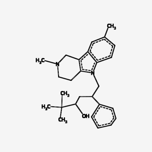 Cc1ccc2c(c1)c1c(n2CC(CC(O)C(C)(C)C)c2ccccc2)CCN(C)C1